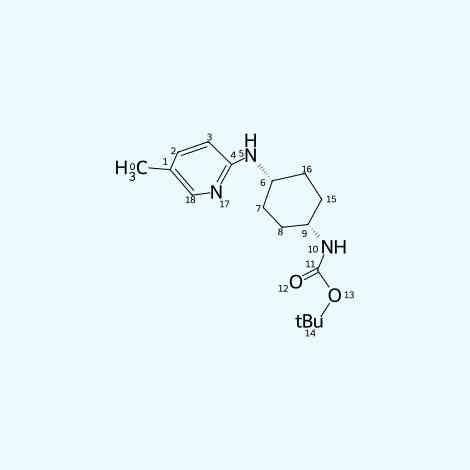 Cc1ccc(N[C@H]2CC[C@@H](NC(=O)OC(C)(C)C)CC2)nc1